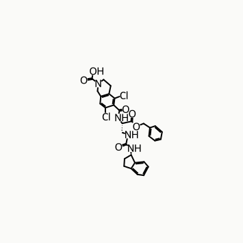 O=C(NC[C@H](NC(=O)c1c(Cl)cc2c(c1Cl)CCN(C(=O)O)C2)C(=O)OCc1ccccc1)N[C@@H]1CCc2ccccc21